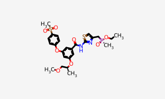 CCOP(C)(=O)Cc1csc(NC(=O)c2cc(Oc3ccc(S(C)(=O)=O)cc3)cc(O[C@@H](C)COC)c2)n1